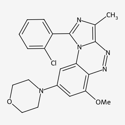 COc1cc(N2CCOCC2)cc2c1nnc1c(C)nc(-c3ccccc3Cl)n12